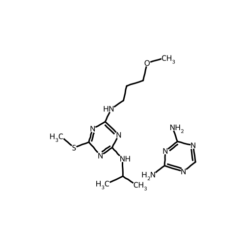 COCCCNc1nc(NC(C)C)nc(SC)n1.Nc1ncnc(N)n1